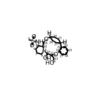 CS(=O)(=O)N[C@H]1CCCN2C(=O)[C@@H](CO)Oc3ccccc3[C@H]3CC[C@H](CC3)OCC12